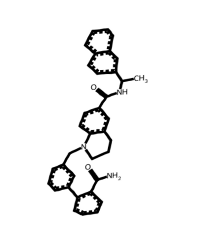 CC(NC(=O)c1ccc2c(c1)CCCN2Cc1cccc(-c2ccccc2C(N)=O)c1)c1ccc2ccccc2c1